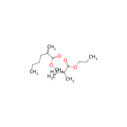 C=C(C)C(=O)OCCC.C=C(CCCC)C(=O)OC.[CH3]